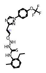 CCc1cccc(C)c1NC(=S)NNO/C=C/c1ncn(-c2ccc(OC(F)(F)F)cc2)n1